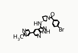 Cn1cc(-c2cnc3[nH]nc(N[C@@H]4CCN(C(=O)c5ccc(Br)cc5)C4)c3c2)cn1